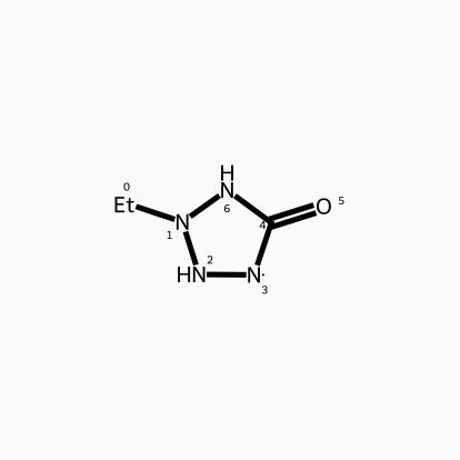 CCN1N[N]C(=O)N1